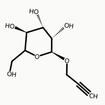 C#CCO[C@H]1OC(CO)[C@@H](O)[C@H](O)[C@@H]1O